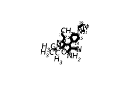 CCCc1nn(C(C)(C)C)c2c1C(c1ccc(-n3ccnc3)cc1)C(C#N)=C(N)O2